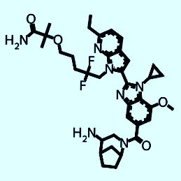 CCc1ccc2cc(-c3nc4cc(C(=O)N5CC(N)C6CCC5C6)cc(OC)c4n3C3CC3)n(CC(F)(F)CCCOC(C)(C)C(N)=O)c2n1